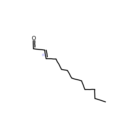 CCCCCCCCC/C=C/C=O